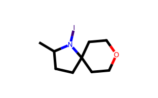 CC1CCC2(CCOCC2)N1I